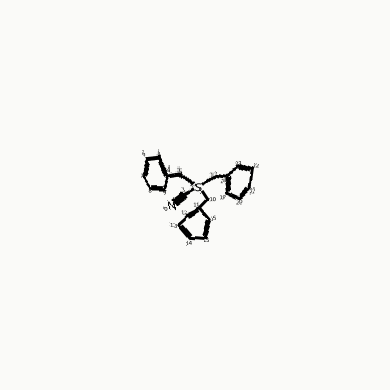 N#CS(Cc1ccccc1)(Cc1ccccc1)Cc1ccccc1